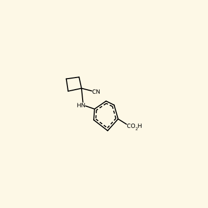 N#CC1(Nc2ccc(C(=O)O)cc2)CCC1